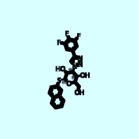 OCC1O[C@H](Sc2ccc3ccccc3c2)C(O)[C@@H](n2cc(-c3cc(F)c(F)c(F)c3)nn2)[C@H]1O